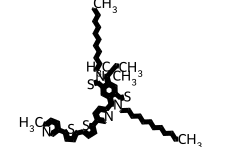 CCCCCCCCCCCCN1C(=S)c2cc3c(cc2=C1c1ccc(-c2ccc(-c4ccc(-c5ccc(C)nc5)s4)s2)cn1)C(=S)N(CCCCCCCCCCCC)C=3C(C)(C)CC